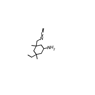 C=C=NCC1(C)CC(N)CC(C)(CC)C1